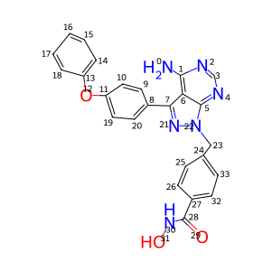 Nc1ncnc2c1c(-c1ccc(Oc3ccccc3)cc1)nn2Cc1ccc(C(=O)NO)cc1